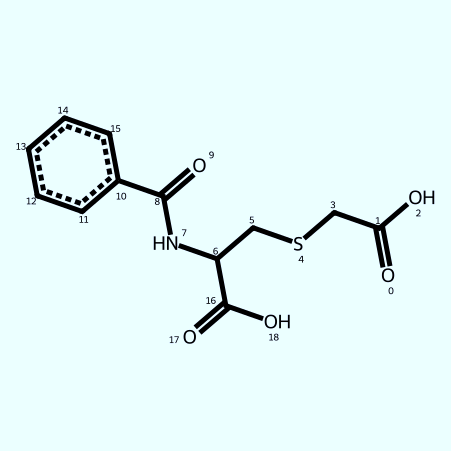 O=C(O)CSCC(NC(=O)c1ccccc1)C(=O)O